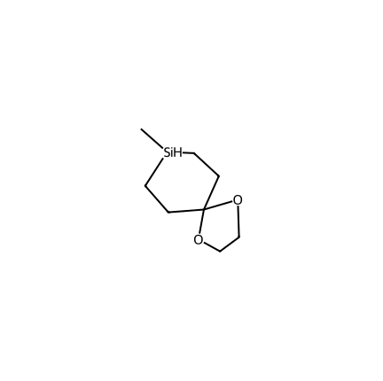 C[SiH]1CCC2(CC1)OCCO2